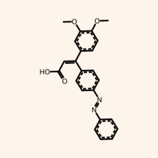 COc1ccc(C(=CC(=O)O)c2ccc(N=Nc3ccccc3)cc2)cc1OC